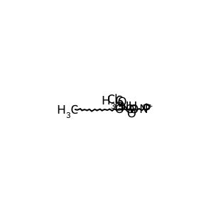 CCCCCCCCCCCCCCCCCCOCC(COC(=O)OCCC[n+]1ccccc1)NC(=O)OC.[Cl-]